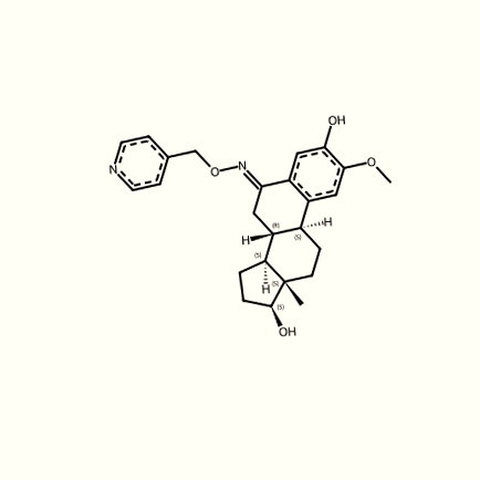 COc1cc2c(cc1O)C(=NOCc1ccncc1)C[C@@H]1[C@@H]2CC[C@]2(C)[C@@H](O)CC[C@@H]12